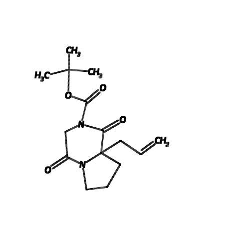 C=CCC12CCCN1C(=O)CN(C(=O)OC(C)(C)C)C2=O